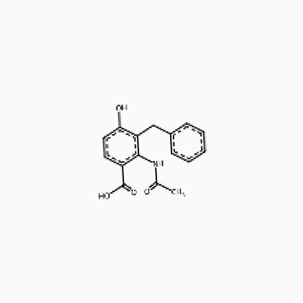 CC(=O)Nc1c(C(=O)O)ccc(O)c1Cc1ccccc1